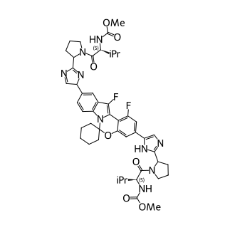 COC(=O)N[C@H](C(=O)N1CCCC1C1=NC(c2ccc3c(c2)c(F)c2n3C3(CCCCC3)Oc3cc(-c4cnc(C5CCCN5C(=O)[C@@H](NC(=O)OC)C(C)C)[nH]4)cc(F)c3-2)C=N1)C(C)C